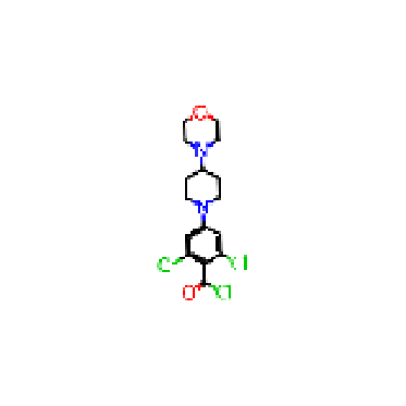 O=C(Cl)c1c(Cl)cc(N2CCC(N3CCOCC3)CC2)cc1Cl